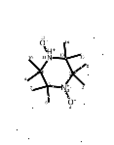 CC1(C)[N+]([O-])C(C)(C)C(C)(C)[NH+]([O-])C1(C)C